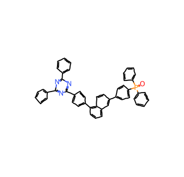 O=P(c1ccccc1)(c1ccccc1)c1ccc(-c2ccc3c(-c4ccc(-c5nc(-c6ccccc6)nc(-c6ccccc6)n5)cc4)cccc3c2)cc1